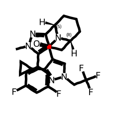 Cn1nc2c(c1-c1cc(F)cc(F)c1)C[C@H]1CCC[C@@H]2N1C(=O)c1cn(CC(F)(F)F)nc1C1CC1